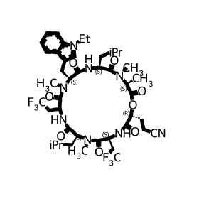 CCn1cc(C[C@H]2C(=O)N[C@@H](CC(C)C)C(=O)N(C)[C@@H](C)C(=O)O[C@H](CCC#N)C(=O)N[C@@H](CC(F)(F)F)C(=O)N(C)[C@@H](CC(C)C)C(=O)NC(CC(F)(F)F)C(=O)N2C)c2ccccc21